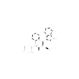 N#C/C(=C\c1c[nH]c2ccc(F)cc12)C(=O)N(c1ccccc1)C1CCCCC1